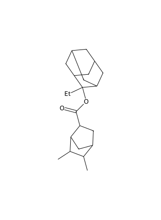 CCC1(OC(=O)C2CC3CC2C(C)C3C)C2CC3CC(C2)CC1C3